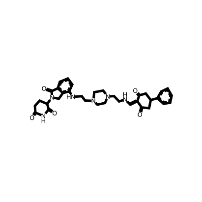 O=C1CCC(N2Cc3c(NCCN4CCN(CCNC=C5C(=O)CC(c6ccccc6)CC5=O)CC4)cccc3C2=O)C(=O)N1